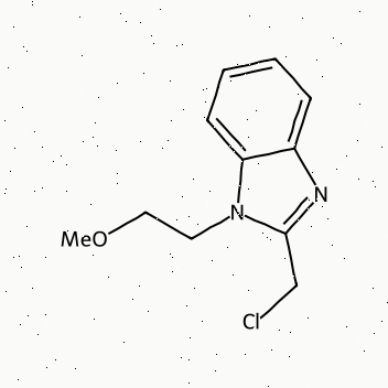 COCCn1c(CCl)nc2ccccc21